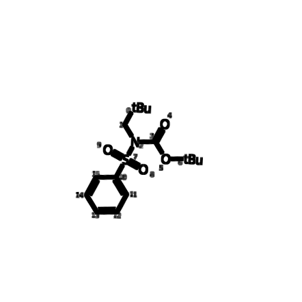 CC(C)(C)CN(C(=O)OC(C)(C)C)S(=O)(=O)c1ccccc1